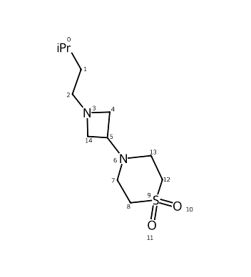 CC(C)CCN1CC(N2CCS(=O)(=O)CC2)C1